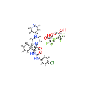 O=C(Nc1ccc(Cl)cc1)N[C@@H](C(=O)N1CCN(c2ccncc2)CC1)c1ccccc1.O=C(O)C(F)(F)F.O=C(O)C(F)(F)F